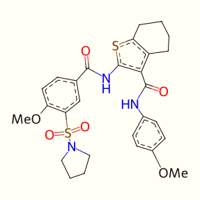 COc1ccc(NC(=O)c2c(NC(=O)c3ccc(OC)c(S(=O)(=O)N4CCCC4)c3)sc3c2CCCC3)cc1